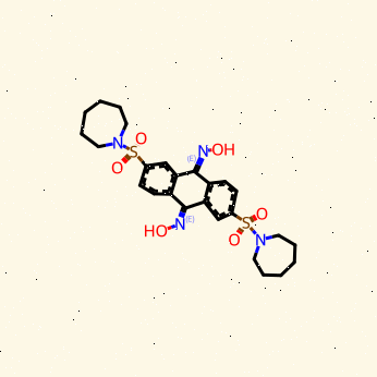 O=S(=O)(c1ccc2c(c1)/C(=N/O)c1ccc(S(=O)(=O)N3CCCCCC3)cc1/C2=N/O)N1CCCCCC1